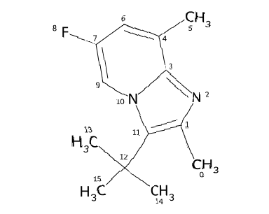 Cc1nc2c(C)cc(F)cn2c1C(C)(C)C